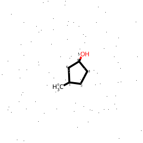 CC1C[CH]C(O)C1